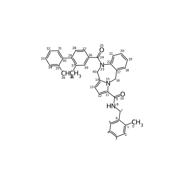 Cc1ccccc1CNC(=O)c1ccc2n1Cc1ccccc1N(C(=O)c1ccc(-c3ccccc3C)c(C)c1)C2